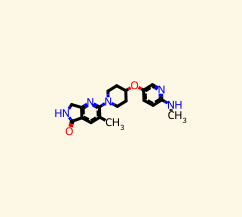 CNc1ccc(OC2CCN(c3nc4c(cc3C)C(=O)NC4)CC2)cn1